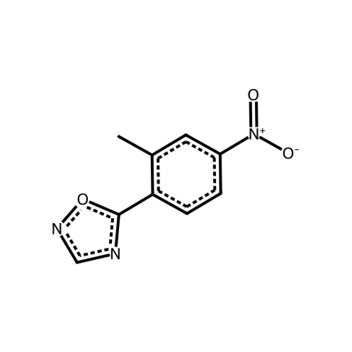 Cc1cc([N+](=O)[O-])ccc1-c1ncno1